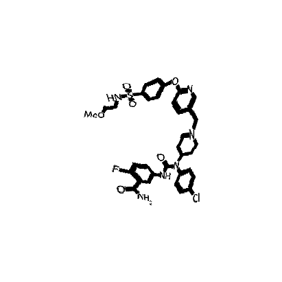 COCCNS(=O)(=O)c1ccc(Oc2ccc(CN3CCC(N(C(=O)Nc4ccc(F)c(C(N)=O)c4)c4ccc(Cl)cc4)CC3)cn2)cc1